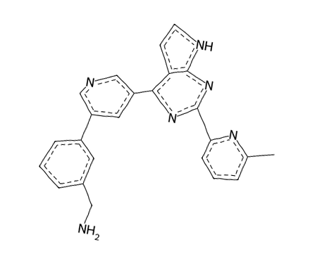 Cc1cccc(-c2nc(-c3cncc(-c4cccc(CN)c4)c3)c3cc[nH]c3n2)n1